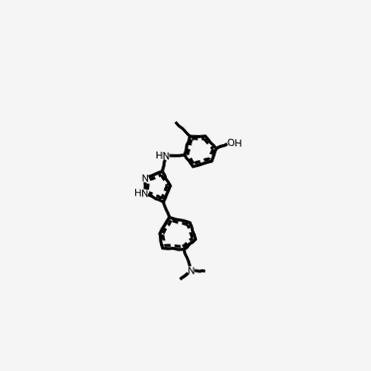 Cc1cc(O)ccc1Nc1cc(-c2ccc(N(C)C)cc2)[nH]n1